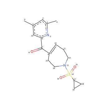 Cc1cc(C)nc(C(=O)C2=CCCN(S(=O)(=O)C3CC3)CC2)c1